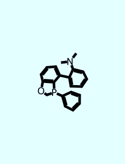 CN(C)c1ccccc1-c1cccc2c1P(c1ccccc1)CO2